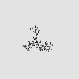 Cc1cccnc1N1CCN(c2cc(-c3ccc(F)c(Cl)c3)nc(N3CCOCC3)n2)CC1=O